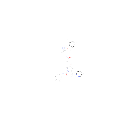 Cc1cc(C)c(S(=O)(=O)NC(CNC(=O)COC2CC(C(N)c3ccccn3)N(C(=O)NC3CCCCC3)C2)C(=O)O)c(C)c1